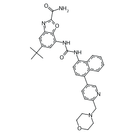 CC(C)(C)c1cc(NC(=O)Nc2ccc(-c3ccc(CN4CCOCC4)nc3)c3ccccc23)c2oc(C(N)=O)nc2c1